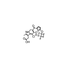 CC1=C(CC(=O)O)C2=C(Cl)C(O)=C(C(=O)c3ccc(OC(F)(F)C(F)(F)F)s3)CC2=N1